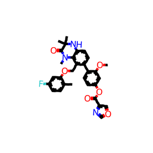 COc1cc(OC(=O)c2cocn2)ccc1-c1ccc2c(c1COc1cc(F)ccc1C)N(C)C(=O)C(C)(C)N2